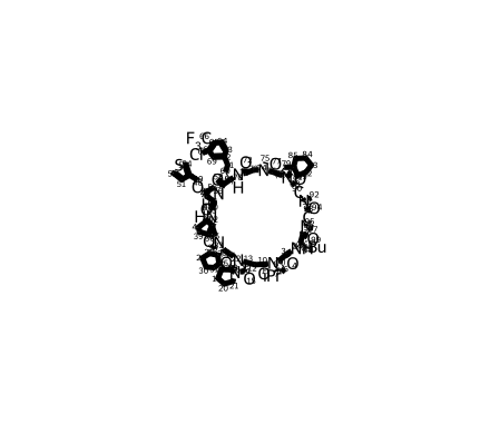 CC[C@H](C)[C@@H]1NC(=O)[C@H](CC(C)C)N(C)C(=O)C[C@@H](C(=O)N2CCCCC2)N(C)C(=O)[C@H](C2CCCCC2)N(C)C(=O)C2(CCCC2)NC(=O)[C@@H]2C[C@@H](OCc3ccsc3)CN2C(=O)[C@H](CCc2ccc(C(F)(F)F)c(Cl)c2)NC(=O)CN(C)C(=O)[C@H](CC2CCCCC2)N(C)C(=O)CN(C)C(=O)CN(C)C1=O